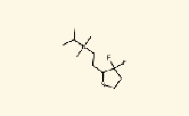 CC(C)[N+](C)(C)CCC1=NCCC1(F)F